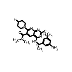 Cc1nc(N[C@H](C)c2cc(N)cc(C(F)(F)F)c2)c2cc(C(=O)N(C)C)c(N3CCC(F)CC3)nc2n1